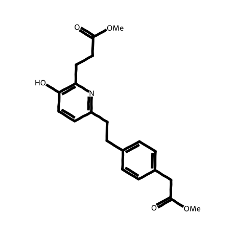 COC(=O)CCc1nc(CCc2ccc(CC(=O)OC)cc2)ccc1O